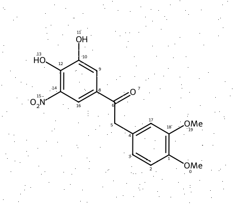 COc1ccc(CC(=O)c2cc(O)c(O)c([N+](=O)[O-])c2)cc1OC